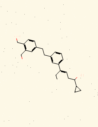 CC/C(=C\CC(O)C1CC1)c1cccc(CCc2ccc(CO)c(CO)c2)c1